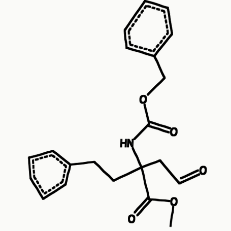 COC(=O)C(CC=O)(CCc1ccccc1)NC(=O)OCc1ccccc1